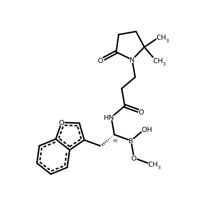 COB(O)[C@H](Cc1coc2ccccc12)NC(=O)CCN1C(=O)CCC1(C)C